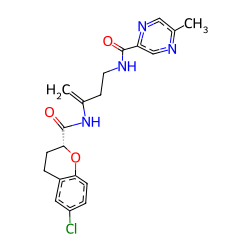 C=C(CCNC(=O)c1cnc(C)cn1)NC(=O)[C@H]1CCc2cc(Cl)ccc2O1